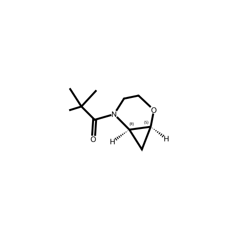 CC(C)(C)C(=O)N1CCO[C@H]2C[C@H]21